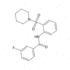 O=C(Nc1ccccc1S(=O)(=O)N1CCCCC1)c1cccc(F)c1